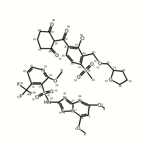 COc1cc(OC)n2nc(NS(=O)(=O)c3c(C(F)(F)F)ccnc3OC)nc2n1.CS(=O)(=O)c1ccc(C(=O)C2C(=O)CCCC2=O)c(Cl)c1COCC1CCCO1